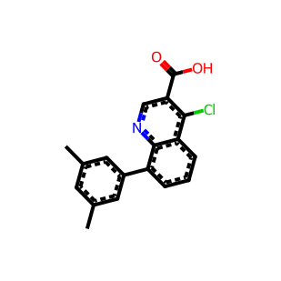 Cc1cc(C)cc(-c2cccc3c(Cl)c(C(=O)O)cnc23)c1